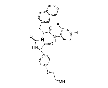 O=C(Nc1ccc(I)cc1F)C(Cc1ccc2ccccc2c1)N1C(=O)NC(c2ccc(OCCO)cc2)C1=O